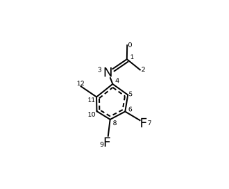 CC(C)=Nc1cc(F)c(F)cc1C